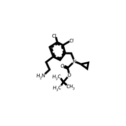 CC(C)(C)OC(=O)N(Cc1cc(CCN)cc(Cl)c1Cl)C1CC1